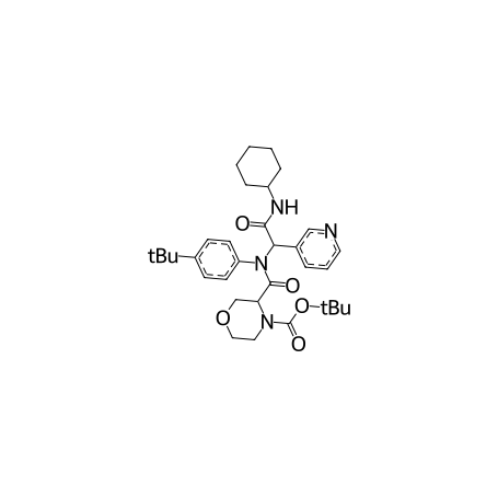 CC(C)(C)OC(=O)N1CCOCC1C(=O)N(c1ccc(C(C)(C)C)cc1)C(C(=O)NC1CCCCC1)c1cccnc1